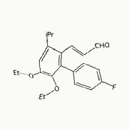 CCOc1cc(C(C)C)c(/C=C/C=O)c(-c2ccc(F)cc2)c1OCC